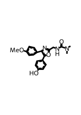 COc1ccc(-c2nc(CNC(=O)N(C)C)oc2-c2ccc(O)cc2)cc1